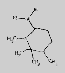 C[CH2][Al]([CH2]C)[CH]1CCC(C)C(C)(C)N1C